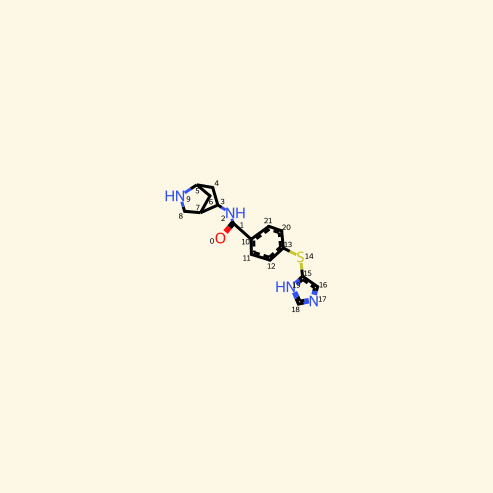 O=C(NC1CC2CC1CN2)c1ccc(Sc2cnc[nH]2)cc1